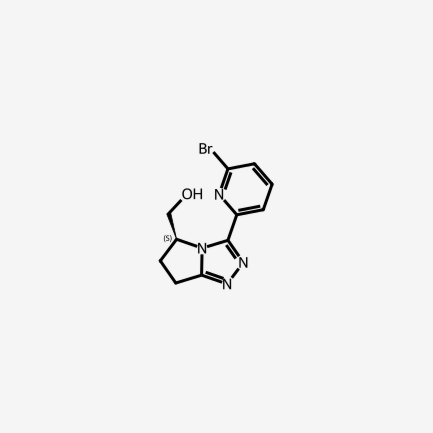 OC[C@@H]1CCc2nnc(-c3cccc(Br)n3)n21